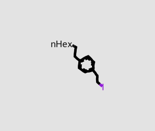 CCCCCCCCc1ccc(CCI)cc1